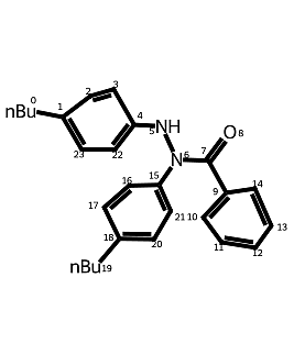 CCCCc1ccc(NN(C(=O)c2ccccc2)c2ccc(CCCC)cc2)cc1